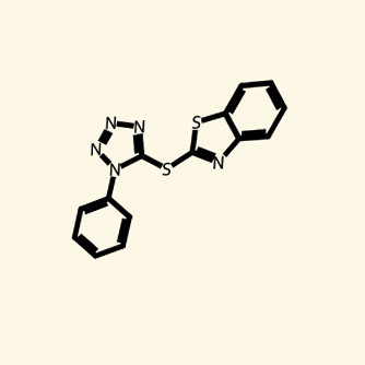 c1ccc(-n2nnnc2Sc2nc3ccccc3s2)cc1